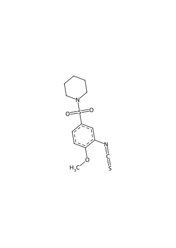 COc1ccc(S(=O)(=O)N2CCCCC2)cc1N=C=S